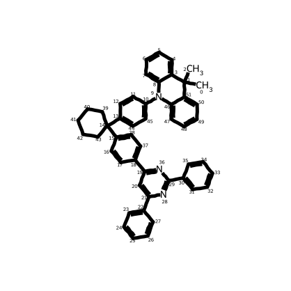 CC1(C)c2ccccc2N(c2ccc(C3(c4ccc(-c5cc(-c6ccccc6)nc(-c6ccccc6)n5)cc4)CCCCC3)cc2)c2ccccc21